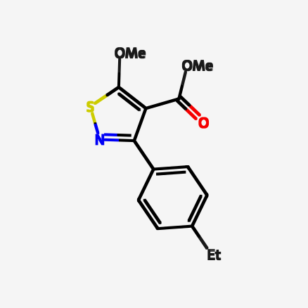 CCc1ccc(-c2nsc(OC)c2C(=O)OC)cc1